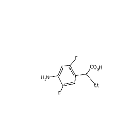 CCC(C(=O)O)c1cc(F)c(N)cc1F